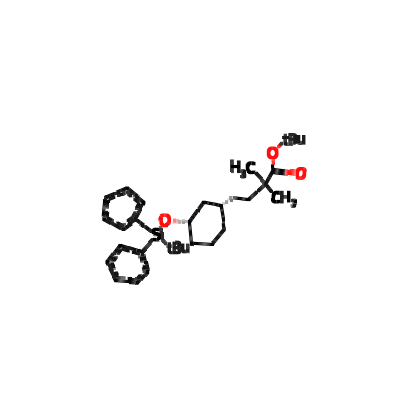 CC(C)(C)OC(=O)C(C)(C)CC[C@@H]1CCC[C@H](O[Si](c2ccccc2)(c2ccccc2)C(C)(C)C)C1